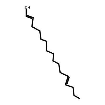 CCCC=CCCCCCCCCCC=CO